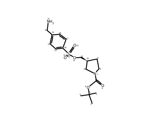 CC(C)(C)OC(=O)N1CC[C@H](COS(=O)(=O)c2ccc(CN)cc2)C1